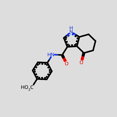 O=C(O)c1ccc(NC(=O)c2c[nH]c3c2C(=O)CCC3)cc1